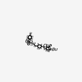 CCCCn1ncc(SCc2ccc(CCCOS(=O)(=O)c3ccc(C)cc3)cc2)c(Cl)c1=O